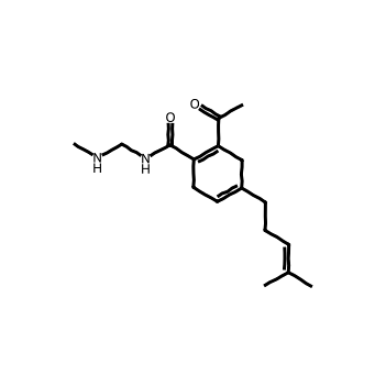 CNCNC(=O)C1=C(C(C)=O)CC(CCC=C(C)C)=CC1